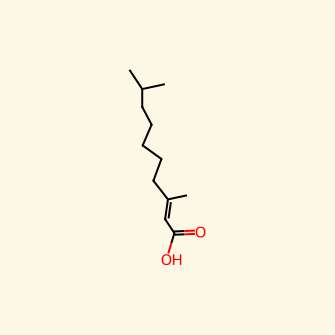 C/C(=C\C(=O)O)CCCCCC(C)C